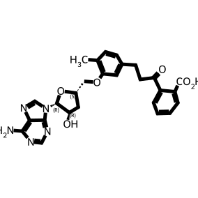 Cc1ccc(CCC(=O)c2ccccc2C(=O)O)cc1OC[C@@H]1C[C@@H](O)[C@H](n2cnc3c(N)ncnc32)O1